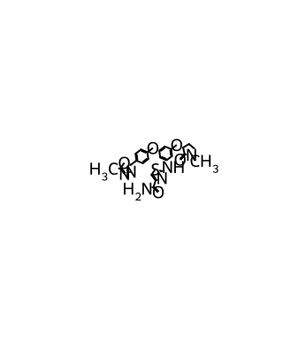 Cc1nnc(-c2ccc(Oc3cc(Nc4nc(C(N)=O)cs4)cc(OC4CCN(C)C4=O)c3)cc2)o1